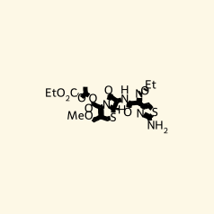 CCON=C(C(=O)NC1C(=O)N2C(C(=O)OC(C)OC(=O)OCC)=C(COC)CS[C@@H]12)c1csc(N)n1